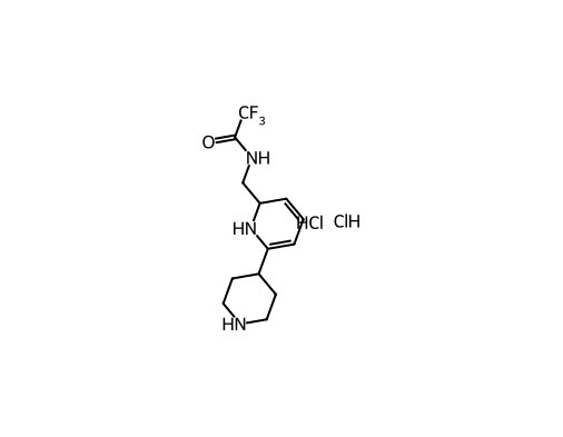 Cl.Cl.O=C(NCC1C=CC=C(C2CCNCC2)N1)C(F)(F)F